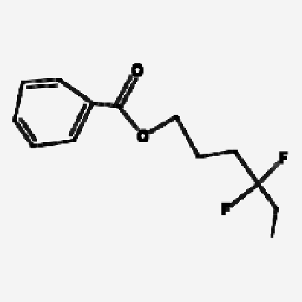 CCC(F)(F)CCCOC(=O)c1ccccc1